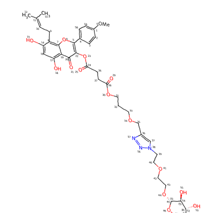 COc1ccc(-c2oc3c(CC=C(C)C)c(O)cc(O)c3c(=O)c2OC(=O)CCC(=O)OCCCOCc2cn(CCOCCO[C@H]3O[C@@H](CO)[C@H](O)[C@@H](O)[C@@H]3O)nn2)cc1